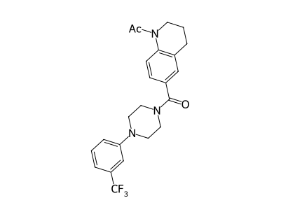 CC(=O)N1CCCc2cc(C(=O)N3CCN(c4cccc(C(F)(F)F)c4)CC3)ccc21